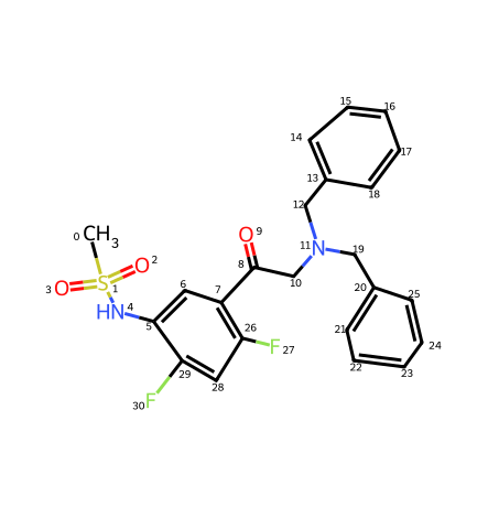 CS(=O)(=O)Nc1cc(C(=O)CN(Cc2ccccc2)Cc2ccccc2)c(F)cc1F